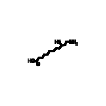 NCCC(S)CCCCCCCCC(=O)O